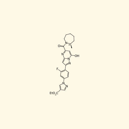 CCOC(=O)c1cnn(-c2ccc(-c3cc4nc(C(=O)N5CCCCC[C@H]5C)cc(O)n4n3)c(F)c2)c1